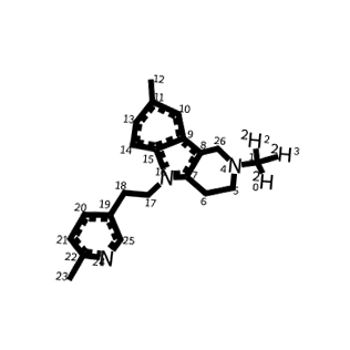 [2H]C([2H])([2H])N1CCc2c(c3cc(C)ccc3n2CCc2ccc(C)nc2)C1